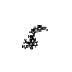 C[C@H]1C(=O)N2CCCc3nc(NCc4cnn(Cc5ccc(C(F)(F)F)nc5)c4)nc(c32)N1C1CC1